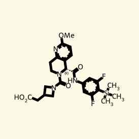 COc1ccc2c(n1)CCN(C(=O)N1CC(CC(=O)O)C1)[C@H]2C(=O)Nc1cc(F)c([Si](C)(C)C)c(F)c1